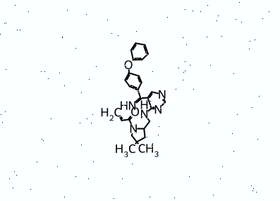 C=CC(=O)N1CC(C)(C)CC1CNc1ncncc1C(=N)c1ccc(Oc2ccccc2)cc1